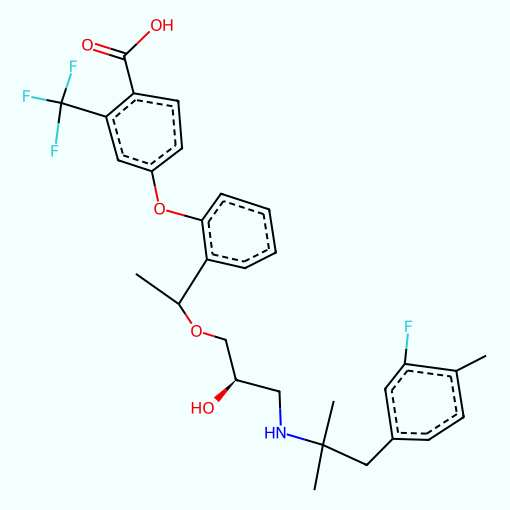 Cc1ccc(CC(C)(C)NC[C@@H](O)COC(C)c2ccccc2Oc2ccc(C(=O)O)c(C(F)(F)F)c2)cc1F